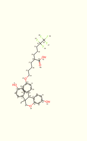 CC1(c2ccc(O)cc2)COc2cc(O)ccc2C1c1ccc(OCCCCC(CCCC(F)(F)C(F)(F)F)C(=O)O)cc1